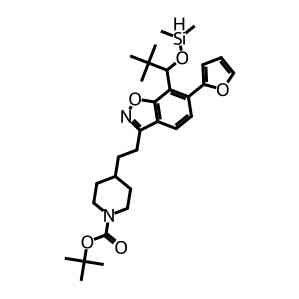 C[SiH](C)OC(c1c(-c2ccco2)ccc2c(CCC3CCN(C(=O)OC(C)(C)C)CC3)noc12)C(C)(C)C